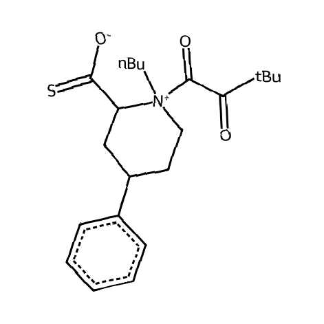 CCCC[N+]1(C(=O)C(=O)C(C)(C)C)CCC(c2ccccc2)CC1C([O-])=S